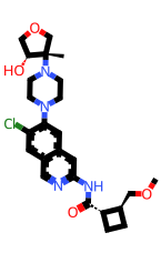 COC[C@H]1CC[C@@H]1C(=O)Nc1cc2cc(N3CCN([C@@]4(C)COC[C@H]4O)CC3)c(Cl)cc2cn1